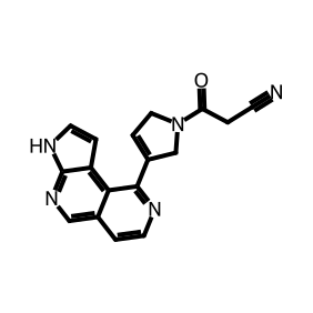 N#CCC(=O)N1CC=C(c2nccc3cnc4[nH]ccc4c23)C1